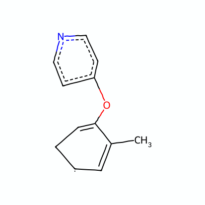 CC1=C[CH]CC=C1Oc1ccncc1